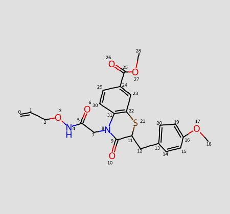 C=CCONC(=O)CN1C(=O)C(Cc2ccc(OC)cc2)Sc2cc(C(=O)OC)ccc21